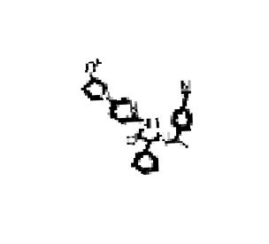 CO[C@@H]1CCN(c2ccc(NC(=O)C(NC[C@H](C)c3ccc(C#N)cc3)c3ccccc3)nc2)C1